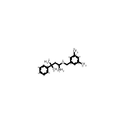 CC(C)(CC(N)OCc1cc(C(F)(F)F)cc(C(F)(F)F)c1)c1ccccc1